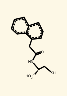 O=C(Cc1cccc2ccccc12)N[C@@H](CS)C(=O)O